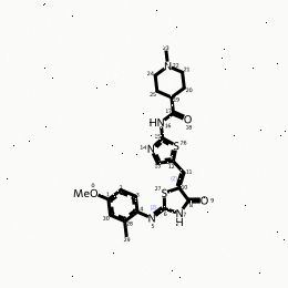 COc1ccc(/N=C2/NC(=O)/C(=C/c3cnc(NC(=O)C4CCN(C)CC4)s3)S2)c(C)c1